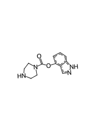 O=C(Oc1cccc2[nH]ncc12)N1CCNCC1